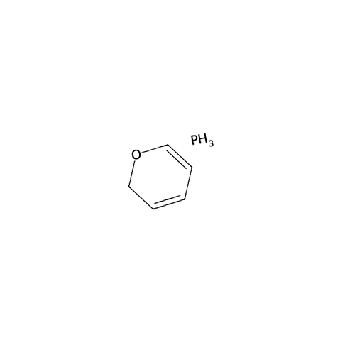 C1=CCOC=C1.P